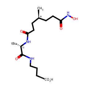 C[C@@H](CCC(=O)NO)CCC(=O)N[C@H](C(=O)NCCCC(=O)O)C(C)(C)C